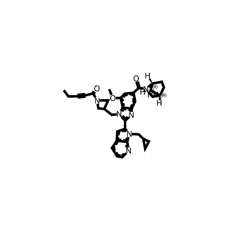 CCC#CC(=O)N1CC(Cn2c(-c3cc4cccnc4n3CC3CC3)nc3cc(C(=O)N4C[C@H]5CC[C@@H]4[C@@H]5N)cc(OC)c32)C1